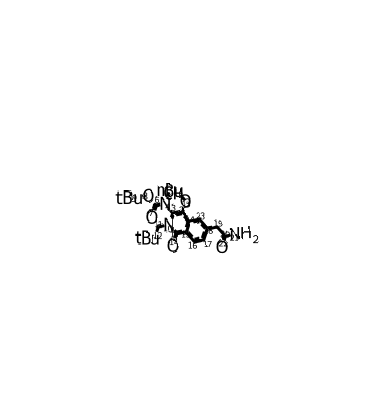 CCCCOc1c(N(C)C(=O)OC(C)(C)C)n(CC(C)(C)C)c(=O)c2ccc(CC(N)=O)cc12